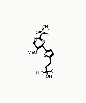 COc1cnc(S(C)(=O)=O)nc1-c1ccc(CCC(C)(C)O)s1